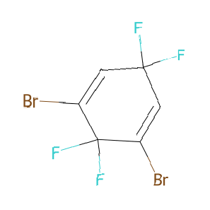 FC1(F)C=C(Br)C(F)(F)C(Br)=C1